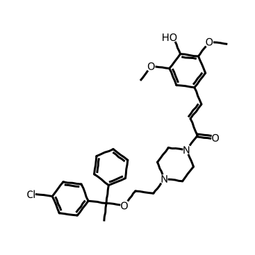 COc1cc(C=CC(=O)N2CCN(CCOC(C)(c3ccccc3)c3ccc(Cl)cc3)CC2)cc(OC)c1O